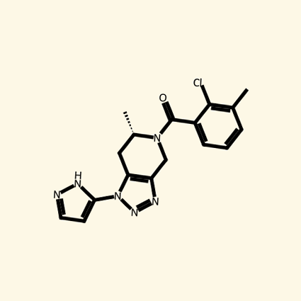 Cc1cccc(C(=O)N2Cc3nnn(-c4ccn[nH]4)c3C[C@@H]2C)c1Cl